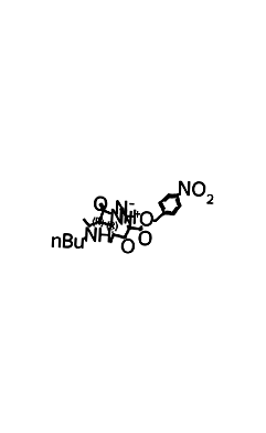 CCCCNC(C)[C@H]1C(=O)N[C@@H]1C(C)C(=O)C(=[N+]=[N-])C(=O)OCc1ccc([N+](=O)[O-])cc1